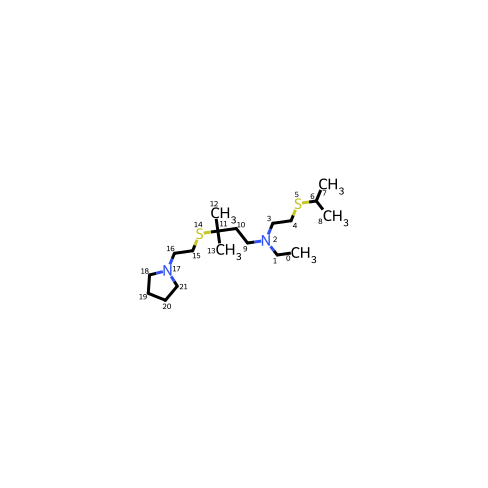 CCN(CCSC(C)C)CCC(C)(C)SCCN1CCCC1